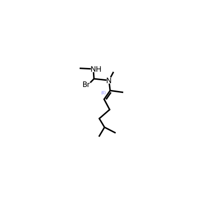 CNC(Br)N(C)/C(C)=C/CCC(C)C